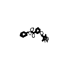 Cc1noc(C)c1COc1cccc(C(=O)C(=O)OCc2ccccc2)c1